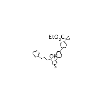 CCOC(=O)C1(c2ccc(-c3ccc(-c4cscc4C(O)CCCc4ccccc4)cc3)cc2)CC1